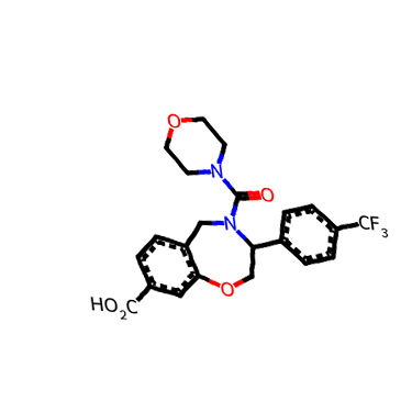 O=C(O)c1ccc2c(c1)OCC(c1ccc(C(F)(F)F)cc1)N(C(=O)N1CCOCC1)C2